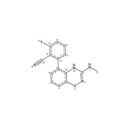 CNC1=NSc2cccc(-c3cccc(F)c3C#N)c2N1